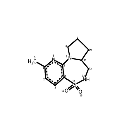 Cc1ccc2c(n1)N1CCCC1CNS2(=O)=O